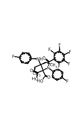 CCC(CC)(Nc1ccc(F)cc1)C(C(=O)O)(C(=O)O)N(C(=O)c1c(F)c(F)c(F)c(F)c1F)c1ccc(F)cc1